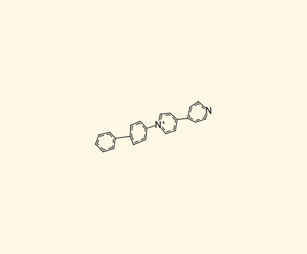 c1ccc(-c2ccc(-[n+]3ccc(-c4ccncc4)cc3)cc2)cc1